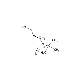 CC(C)(C)[C@]1(C#N)C[C@@H]1CCO